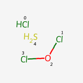 Cl.ClOCl.S